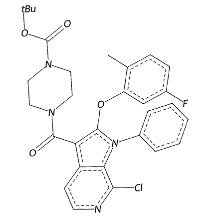 Cc1ccc(F)cc1Oc1c(C(=O)N2CCN(C(=O)OC(C)(C)C)CC2)c2ccnc(Cl)c2n1-c1ccccc1